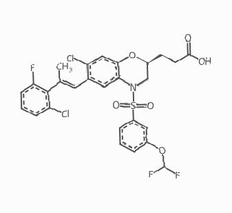 C/C(=C\c1cc2c(cc1Cl)O[C@@H](CCC(=O)O)CN2S(=O)(=O)c1cccc(OC(F)F)c1)c1c(F)cccc1Cl